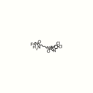 N[C@@H](CCCCNC(=O)c1cnc2cc(Cl)c(Cl)cc2n1)C(=O)N1CC(F)C1